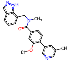 CCOc1cc(C(=O)N(C)Cc2cccc3cn[nH]c23)ccc1-c1cncc(C#N)c1